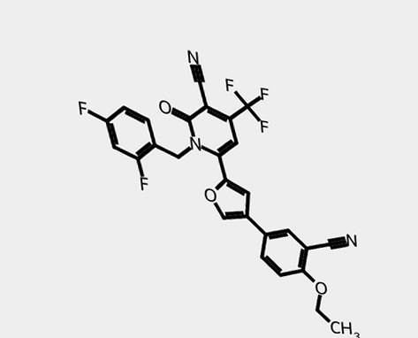 CCOc1ccc(-c2coc(-c3cc(C(F)(F)F)c(C#N)c(=O)n3Cc3ccc(F)cc3F)c2)cc1C#N